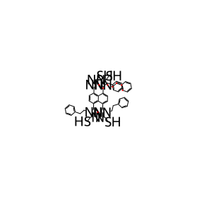 Sc1nnc(-c2ccc(-c3nnc(S)n3CCc3ccccc3)c3c(-c4nnc(S)n4CCc4ccccc4)ccc(-c4nnc(S)n4CCc4ccccc4)c23)n1CCc1ccccc1